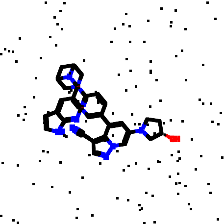 N#Cc1cnn2cc(N3CC[C@H](O)C3)cc(-c3ccc(N4CC5CC(C4)N5Cc4cnc5[nH]ccc5c4)nc3)c12